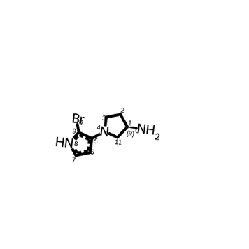 N[C@@H]1CCN(c2cc[nH]c2Br)C1